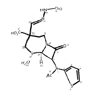 CC(=O)N(c1cccs1)C1C(=O)N2CC(C=NNC=O)(C(=O)O)CS[C@H]12.O